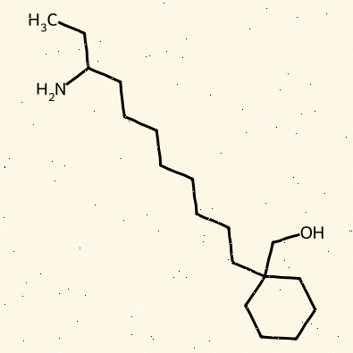 CCC(N)CCCCCCCCC1(CO)CCCCC1